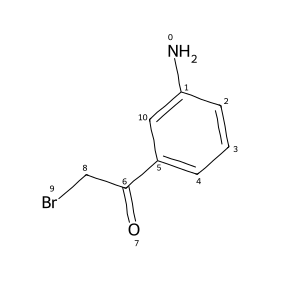 Nc1cccc(C(=O)CBr)c1